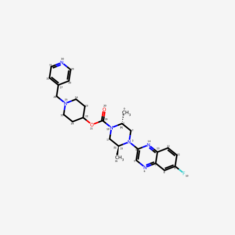 C[C@@H]1CN(c2cnc3cc(F)ccc3n2)[C@@H](C)CN1C(=O)OC1CCN(Cc2ccncc2)CC1